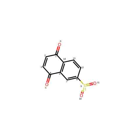 O=C1C=CC(=O)c2cc([SH](=O)=O)ccc21